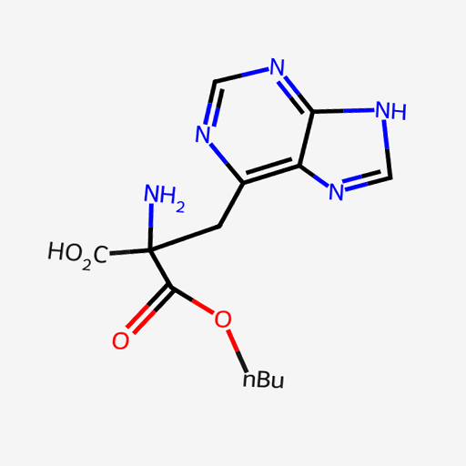 CCCCOC(=O)C(N)(Cc1ncnc2[nH]cnc12)C(=O)O